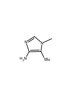 Cn1cnc(N)c1C(C)(C)C